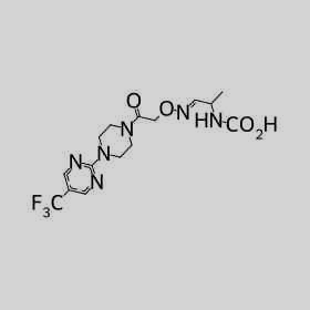 CC(C=NOCC(=O)N1CCN(c2ncc(C(F)(F)F)cn2)CC1)NC(=O)O